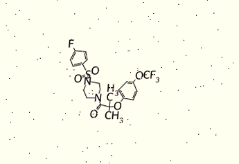 CC(C)(Oc1ccc(OC(F)(F)F)cc1)C(=O)N1CCN(S(=O)(=O)c2ccc(F)cc2)CC1